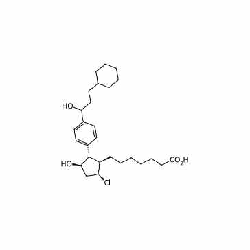 O=C(O)CCCCCC[C@@H]1[C@@H](c2ccc(C(O)CCC3CCCCC3)cc2)[C@H](O)C[C@@H]1Cl